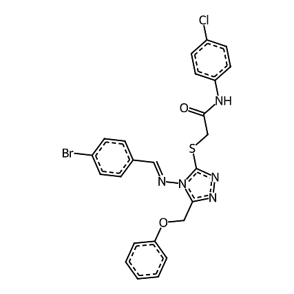 O=C(CSc1nnc(COc2ccccc2)n1N=Cc1ccc(Br)cc1)Nc1ccc(Cl)cc1